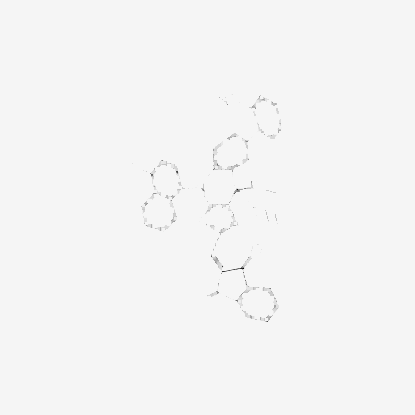 CC1(C)c2cc(-c3ccccc3C#N)ccc2N(c2ccc(F)c3ccccc23)c2sc(C=C3C(=O)c4ccccc4C3=O)cc21